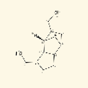 OCC1CCC2C3CC(CO)[C@H](C3)C12